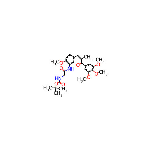 COc1ccc(C=C(C)C(=O)c2cc(OC)c(OC)c(OC)c2)cc1NC(=O)CNC(=O)OC(C)(C)C